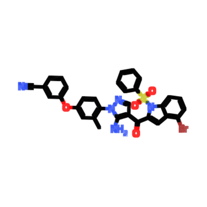 Cc1cc(Oc2cccc(C#N)c2)ccc1-n1ncc(C(=O)c2cc3c(Br)cccc3n2S(=O)(=O)c2ccccc2)c1N